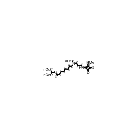 CCCCCCCCC(CCCCCCCC)OC(=O)CCCCCCCN(CCCCCCCC)CCCNc1c(NC)c(=O)c1=O